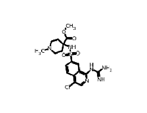 COC(=O)C1(NS(=O)(=O)c2ccc3c(Cl)cnc(NC(=N)N)c3c2)CCN(C)CC1